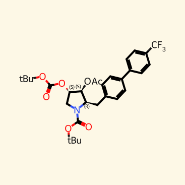 CC(=O)O[C@@H]1[C@@H](OC(=O)OC(C)(C)C)CN(C(=O)OC(C)(C)C)[C@@H]1Cc1ccc(-c2ccc(C(F)(F)F)cc2)cc1